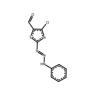 O=Cc1sc(N=NNc2ccccc2)nc1Cl